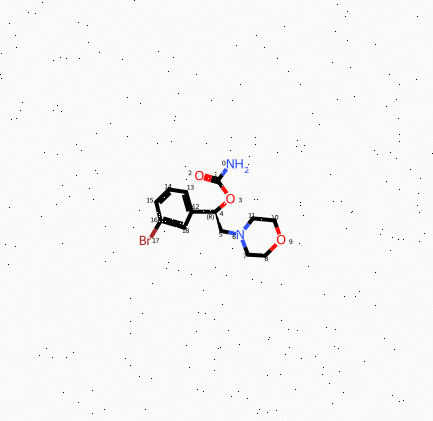 NC(=O)O[C@@H](CN1CCOCC1)c1cccc(Br)c1